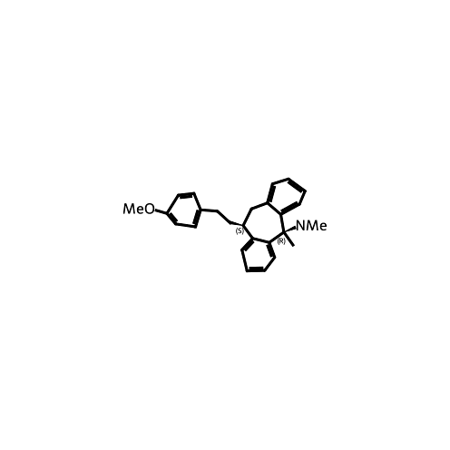 CN[C@]1(C)c2ccccc2C[C@H](CCc2ccc(OC)cc2)c2ccccc21